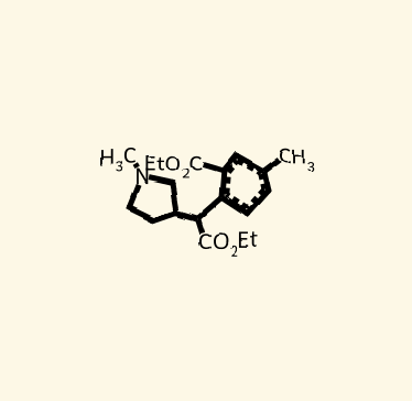 CCOC(=O)c1cc(C)ccc1C(C(=O)OCC)C1CCN(C)C1